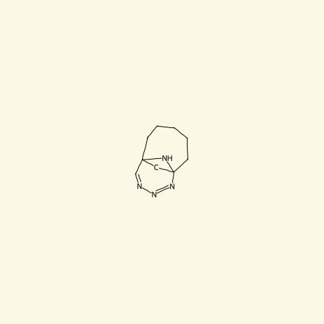 C1=NN=NC23CCCCCC1(C2)N3